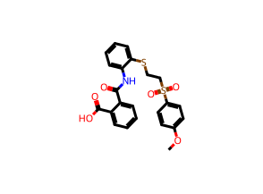 COc1ccc(S(=O)(=O)CCSc2ccccc2NC(=O)c2ccccc2C(=O)O)cc1